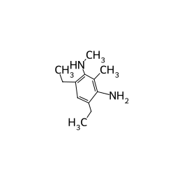 CCc1cc(CC)c(NC)c(C)c1N